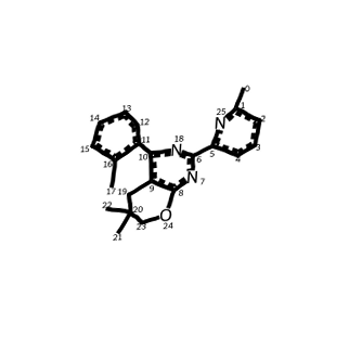 Cc1cccc(-c2nc3c(c(-c4ccccc4C)n2)CC(C)(C)CO3)n1